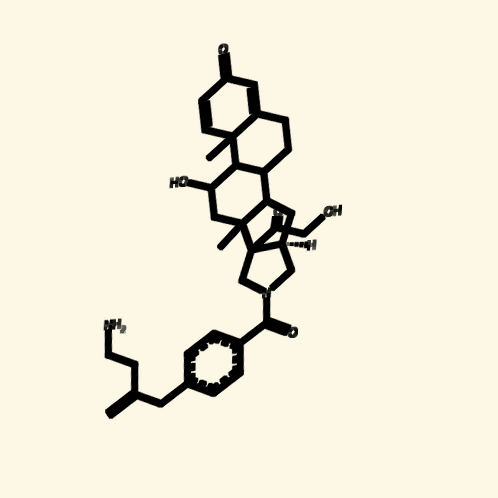 C=C(CCN)Cc1ccc(C(=O)N2C[C@@H]3CC4C5CCC6=CC(=O)C=CC6(C)C5C(O)CC4(C)C3(C(=O)CO)C2)cc1